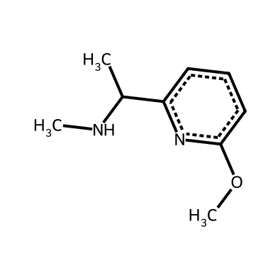 CNC(C)c1cccc(OC)n1